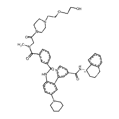 CN(CC(=O)N1CCN(CCOCCO)CC1)C(=O)c1cccc(C(=O)Nc2ccc(N3CCCCC3)cc2-c2cc(C(=O)N[C@H]3CCCc4ccccc43)ccn2)c1